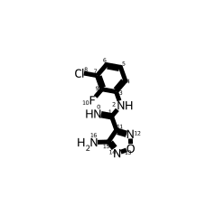 N=C(Nc1cccc(Cl)c1F)c1nonc1N